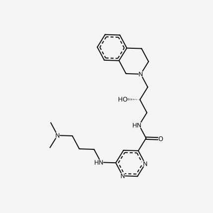 CN(C)CCCNc1cc(C(=O)NC[C@H](O)CN2CCc3ccccc3C2)ncn1